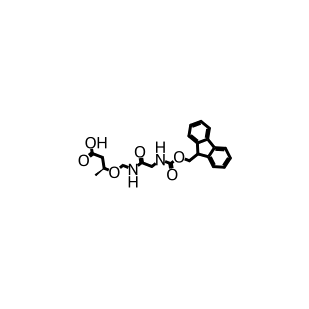 C[C@@H](CC(=O)O)OCNC(=O)CNC(=O)OCC1c2ccccc2-c2ccccc21